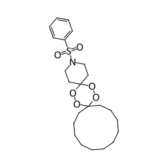 O=S(=O)(c1ccccc1)N1CCC2(CC1)OOC1(CCCCCCCCCCC1)OO2